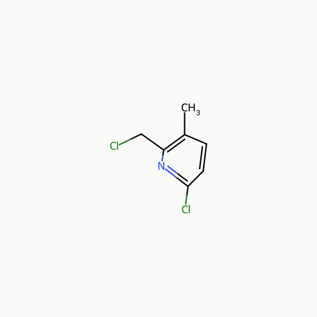 Cc1ccc(Cl)nc1CCl